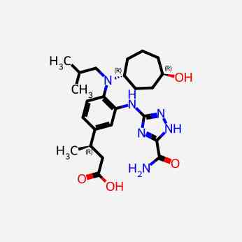 CC(C)CN(c1ccc([C@H](C)CC(=O)O)cc1Nc1n[nH]c(C(N)=O)n1)[C@@H]1CCC[C@@H](O)CC1